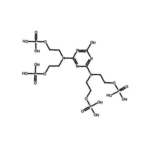 O=P(O)(O)OCCN(CCOP(=O)(O)O)c1nc(O)nc(N(CCOP(=O)(O)O)CCOP(=O)(O)O)n1